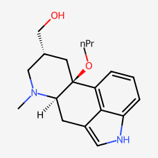 CCCO[C@]12C[C@@H](CO)CN(C)[C@@H]1Cc1c[nH]c3cccc2c13